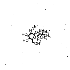 CC(C)(C)[Si](C)(C)OC1OC(CO)C(O)[C@@H](O)[C@@H]1N=[N+]=[N-]